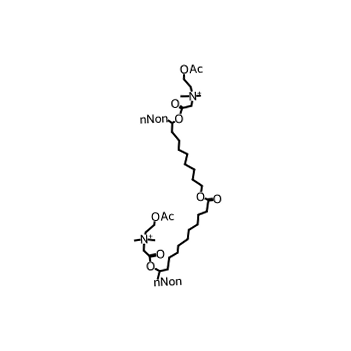 CCCCCCCCCC(CCCCCCCCCC(=O)OCCCCCCCCC(CCCCCCCCC)OC(=O)C[N+](C)(C)CCOC(C)=O)OC(=O)C[N+](C)(C)CCOC(C)=O